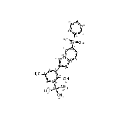 Cc1cc(-n2nc3ccc(S(=O)(=O)c4ccccc4)cc3n2)c(O)c(C(C)(C)C)c1